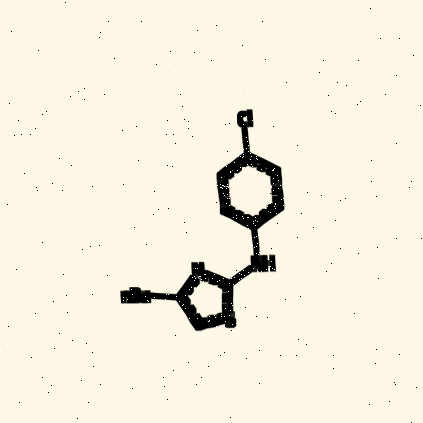 CCCCc1csc(Nc2ccc(Cl)cc2)n1